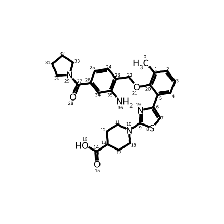 Cc1cccc(-c2csc(N3CCC(C(=O)O)CC3)n2)c1OCc1ccc(C(=O)N2CCCC2)cc1N